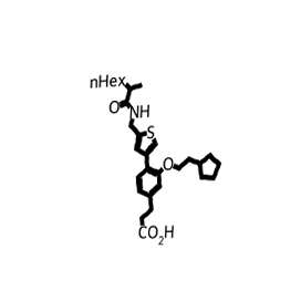 CCCCCCC(C)C(=O)NCc1cc(-c2ccc(CCC(=O)O)cc2OCCC2CCCC2)cs1